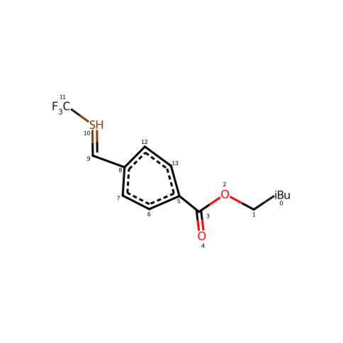 CCC(C)COC(=O)c1ccc(C=[SH]C(F)(F)F)cc1